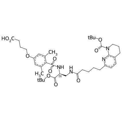 Cc1cc(OCCCC(=O)O)cc(C)c1S(=O)(=O)N[C@@H](CNC(=O)CCCCc1ccc2c(n1)N(C(=O)OC(C)(C)C)CCC2)C(=O)OC(C)(C)C